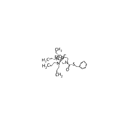 C=CCN(CC=C)P(=O)(CN(CC(=O)OCC)C(=O)SCc1ccccc1)N(CC=C)CC=C